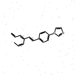 C=C/C=C(\C=C/C)/C=C/c1ccc(-n2ccnc2)cc1